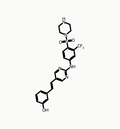 O=S(=O)(c1ccc(Nc2ncc(/C=C/c3cccc(O)c3)cn2)cc1C(F)(F)F)N1CCNCC1